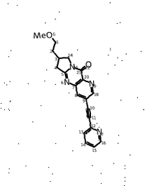 COCCC1Cc2nc3cc(C#Cc4ccccn4)cnc3c(=O)n2C1